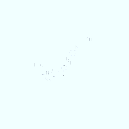 CCCCN1CCc2cc(/N=N/c3cc4sc(C=C5C(=O)N(CCC)C(=S)N(CCC)C5=O)cc4s3)ccc21